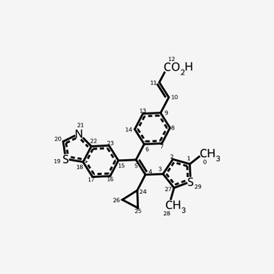 Cc1cc(/C(=C(\c2ccc(/C=C/C(=O)O)cc2)c2ccc3scnc3c2)C2CC2)c(C)s1